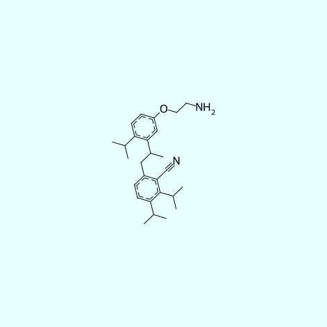 CC(C)c1ccc(OCCN)cc1C(C)Cc1ccc(C(C)C)c(C(C)C)c1C#N